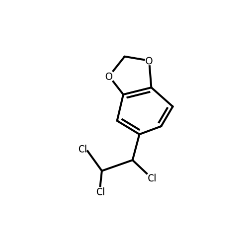 ClC(Cl)C(Cl)c1ccc2c(c1)OCO2